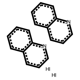 I.I.c1ccc2ncccc2c1.c1ccc2ncccc2c1